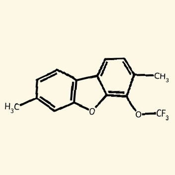 Cc1ccc2c(c1)oc1c(OC(F)(F)F)c(C)ccc12